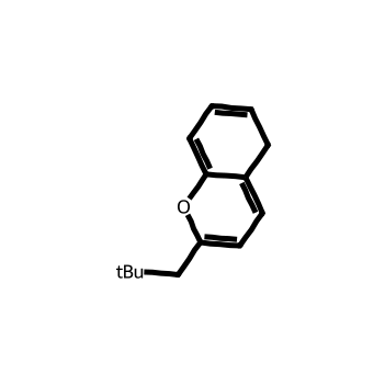 CC(C)(C)CC1=CC=C2CC=CC=C2O1